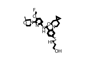 C[C@H]1CN(c2nc(NC(=O)c3ccc(SNCCO)cc3N3CCC4(CC3)CC4)ccc2OCF)CCO1